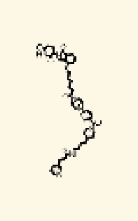 O=C(/C=C/c1cccnc1)NCCCCC1CCN(C(=O)c2ccc(N3CCN(C(=O)CCCCCSc4cccc5c4CN(C4CCC(=O)NC4=O)C5=O)CC3)nc2)CC1